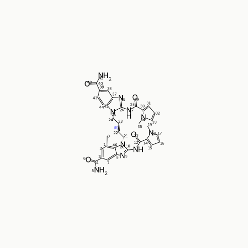 Cc1cc(C(N)=O)cc2nc(NC(=O)c3cccn3C)n(C/C=C/Cn3c(NC(=O)c4cccn4C)nc4cc(C(N)=O)ccc43)c12